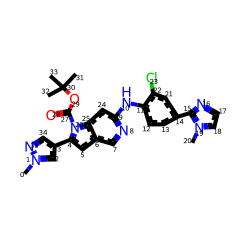 Cn1cc(-c2cc3cnc(Nc4ccc(-c5nccn5C)cc4Cl)cc3n2C(=O)OC(C)(C)C)cn1